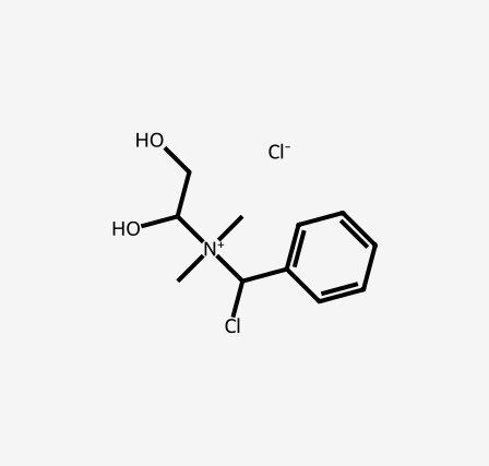 C[N+](C)(C(O)CO)C(Cl)c1ccccc1.[Cl-]